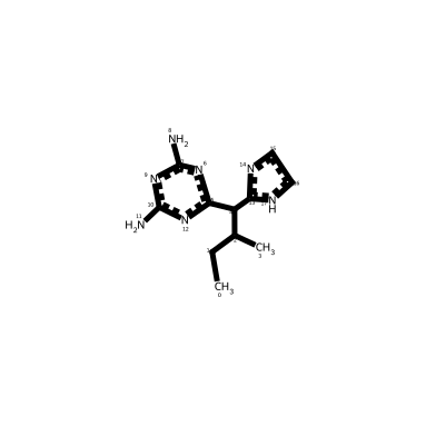 CCC(C)C(c1nc(N)nc(N)n1)c1ncc[nH]1